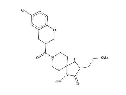 CCCCN1C(=O)C(CCSC)NC12CCN(C(=O)C1COc3ccc(Cl)cc3C1)CC2